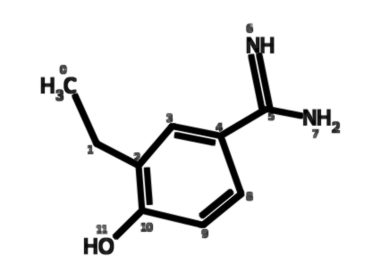 CCc1cc(C(=N)N)ccc1O